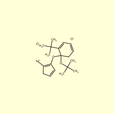 CC(C)(C)OC1(OC2=[C]([Ti+2])CC=C2)CC=CC=C1C(C)(C)C.[Cl-].[Cl-]